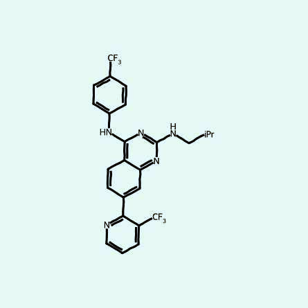 CC(C)CNc1nc(Nc2ccc(C(F)(F)F)cc2)c2ccc(-c3ncccc3C(F)(F)F)cc2n1